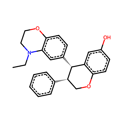 CCN1CCOc2ccc([C@@H]3c4cc(O)ccc4OC[C@@H]3c3ccccc3)cc21